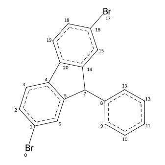 Brc1ccc2c(c1)C(c1ccccc1)c1cc(Br)ccc1-2